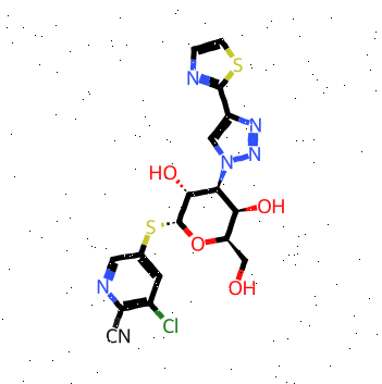 N#Cc1ncc(S[C@H]2O[C@H](CO)[C@H](O)[C@H](n3cc(-c4nccs4)nn3)[C@H]2O)cc1Cl